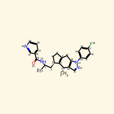 CCC(C[C@H]1CCC2=C1[C@@H](C)c1cnn(-c3ccc(F)cc3)c1C2)NC(=O)c1cccnc1